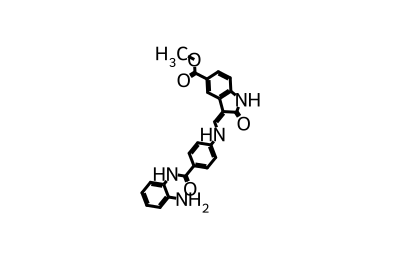 COC(=O)c1ccc2c(c1)C(=CNc1ccc(C(=O)Nc3ccccc3N)cc1)C(=O)N2